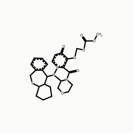 COC(=O)OCOc1c2n(ccc1=O)N(C1c3ccccc3CSC3CCCCC31)C1COCCN1C2=O